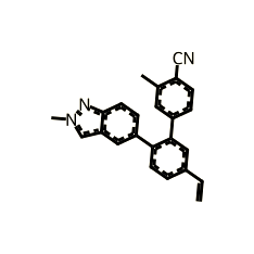 C=Cc1ccc(-c2ccc3nn(C)cc3c2)c(-c2ccc(C#N)c(C)c2)c1